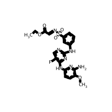 CCOC(=O)C=NS(=O)(=O)c1cccc(Nc2ncc(F)c(Nc3ccc(OC)c(N)n3)n2)c1